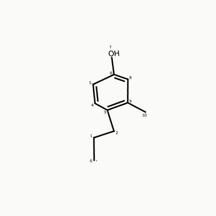 [CH2]CCc1ccc(O)cc1C